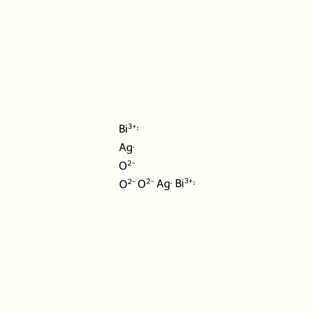 [Ag].[Ag].[Bi+3].[Bi+3].[O-2].[O-2].[O-2]